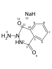 Nn1[nH]c(=O)c2ccccc2c1=O.[NaH]